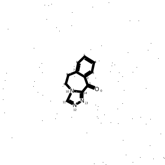 O=C1c2ccccc2CCn2cnnc21